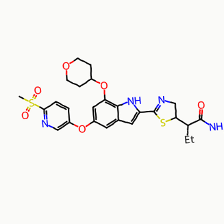 CCC(C(N)=O)C1CN=C(c2cc3cc(Oc4ccc(S(C)(=O)=O)nc4)cc(OC4CCOCC4)c3[nH]2)S1